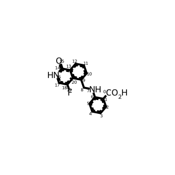 O=C(O)c1ccccc1NCc1cccc2c(=O)[nH]cc(F)c12